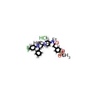 CCN(C(=O)Cc1ccc(S(C)(=O)=O)cc1)C1CCN(C(C)C[C@@H](c2ccccc2)N(C(=O)O)C2CCC(F)(F)CC2)CC1.Cl